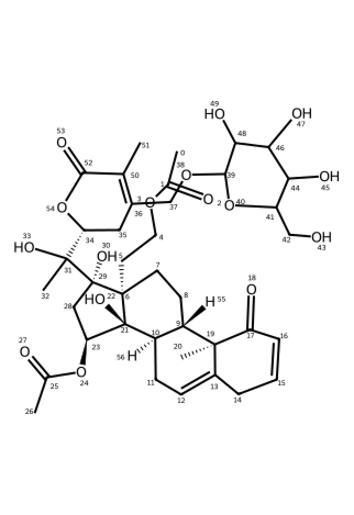 CC(=O)OCC[C@]12CC[C@H]3[C@@H](CC=C4CC=CC(=O)[C@@]43C)[C@]1(O)[C@@H](OC(C)=O)C[C@@]2(O)C(C)(O)[C@H]1CC(COC2OC(CO)C(O)C(O)C2O)=C(C)C(=O)O1